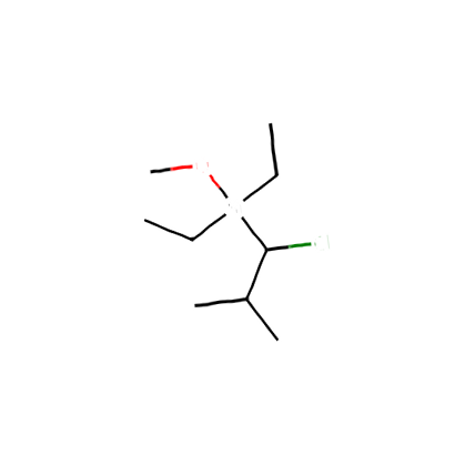 CC[Si](CC)(OC)C(Cl)C(C)C